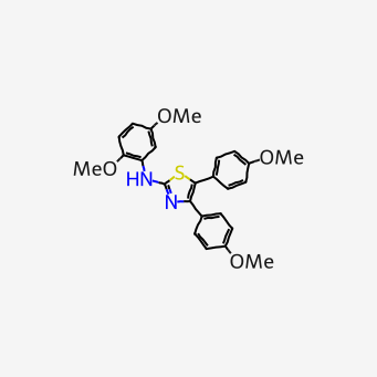 COc1ccc(-c2nc(Nc3cc(OC)ccc3OC)sc2-c2ccc(OC)cc2)cc1